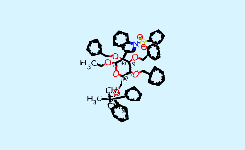 CCO[C@H]1O[C@H](CO[Si](c2ccccc2)(c2ccccc2)C(C)(C)C)[C@@H](OCc2ccccc2)[C@H](OCc2ccccc2)[C@]1(OCc1ccccc1)c1cn(S(=O)(=O)c2ccccc2)c2ccccc12